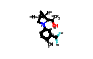 N#Cc1ccc(N2C[C@H]3C[C@H]3[C@@H]2[C@@H](O)C(F)(F)F)cc1C(F)F